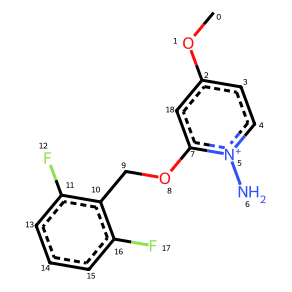 COc1cc[n+](N)c(OCc2c(F)cccc2F)c1